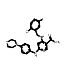 NC(=O)c1cnc(Nc2ccc(N3CCOCC3)cc2)cc1NCc1cc(F)ccc1Cl